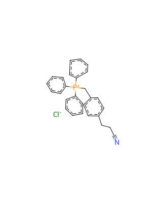 N#CCCc1ccc(C[P+](c2ccccc2)(c2ccccc2)c2ccccc2)cc1.[Cl-]